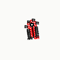 CCCC(O)C(OCC)(OCC)C(OCC)(OCC)C(OCC)(OCC)C(OCC)(OCC)C(OCC)(OCC)c1c(OCC)c(OCC)c(OCC)c(OCC)c1OCC